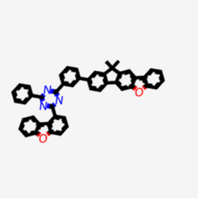 CC1(C)c2cc(-c3cccc(-c4nc(-c5ccccc5)nc(-c5cccc6oc7ccccc7c56)n4)c3)ccc2-c2cc3oc4ccccc4c3cc21